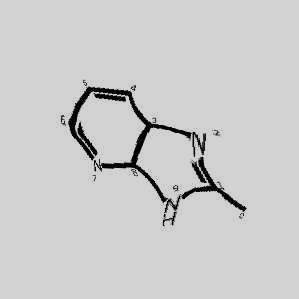 CC1=NC2C=CC=NC2N1